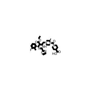 CCOC(=O)C1=C(CN2CCN(C(=O)N3CCC(C(=O)O)CC3)[C@H](C)C2)NC(c2nccs2)=N[C@H]1c1cccc(F)c1C